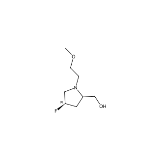 COCCN1C[C@H](F)CC1CO